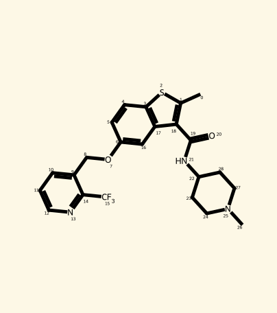 Cc1sc2ccc(OCc3cccnc3C(F)(F)F)cc2c1C(=O)NC1CCN(C)CC1